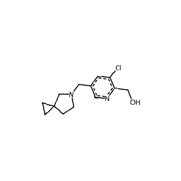 OCc1ncc(CN2CCC3(CC3)C2)cc1Cl